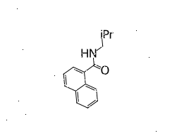 CC(C)CNC(=O)c1cccc2ccccc12